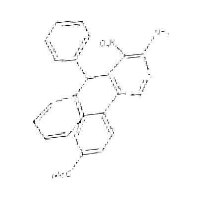 COc1ccc(-c2cnc(N)c([N+](=O)[O-])c2C(c2ccccc2)c2ccccc2)cc1